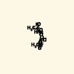 CC[C@H]1[C@@H](C(=O)Nc2cc3cc(N4CCN([C@@]5(C)COC[C@H]5F)CC4)c(Cl)cc3cn2)[C@@H]1c1ccccn1